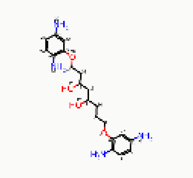 Nc1ccc(N)c(OCCCC(O)CC(O)CCOc2cc(N)ccc2N)c1